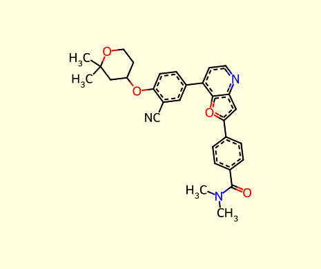 CN(C)C(=O)c1ccc(-c2cc3nccc(-c4ccc(OC5CCOC(C)(C)C5)c(C#N)c4)c3o2)cc1